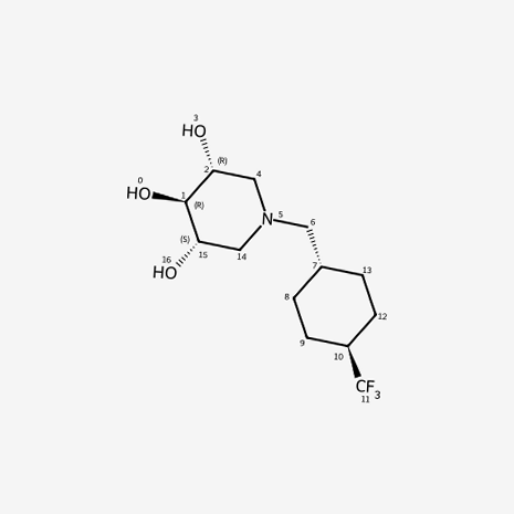 O[C@H]1[C@H](O)CN(C[C@H]2CC[C@H](C(F)(F)F)CC2)C[C@@H]1O